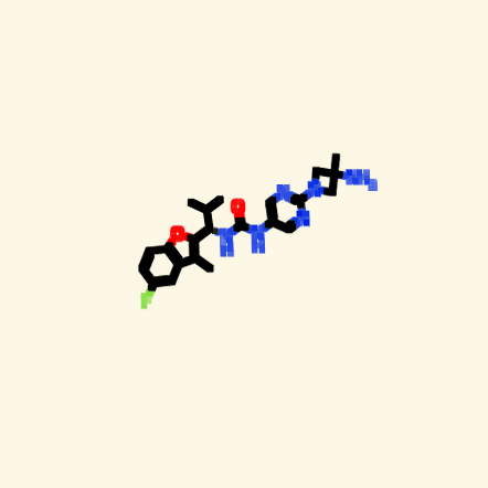 Cc1c([C@@H](NC(=O)Nc2cnc(N3CC(C)(N)C3)nc2)C(C)C)oc2ccc(F)cc12